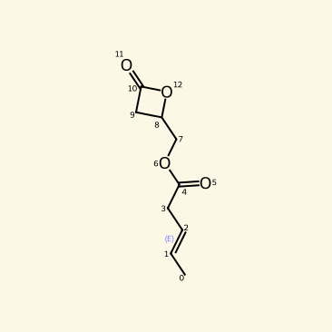 C/C=C/CC(=O)OCC1CC(=O)O1